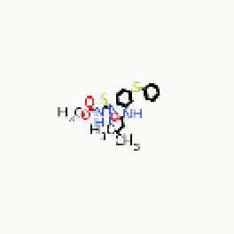 COC(=O)NC(=S)Nc1ccc(Sc2ccccc2)cc1NC(=O)CC(C)C